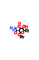 CC[C@H]1OC(OC(C)C)[C@H](C(N)=O)[C@@H](O)[C@H]1O